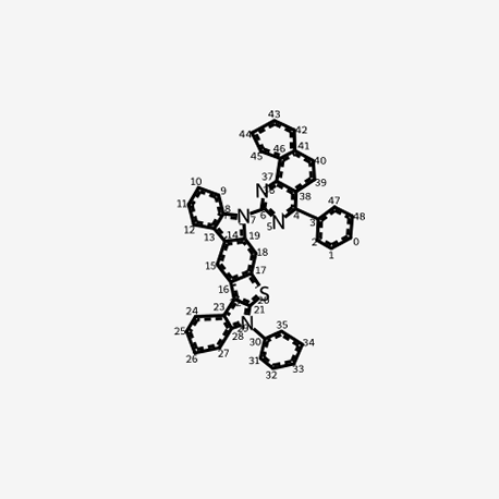 c1ccc(-c2nc(-n3c4ccccc4c4cc5c(cc43)sc3c5c4ccccc4n3-c3ccccc3)nc3c2ccc2ccccc23)cc1